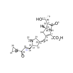 C[C@@H](O)[C@H]1C(=O)N2C(C(=O)O)=C(S[C@H]3C[C@@H](/C=C/C(=O)N4CC4)N(C)C3)C[C@H]12